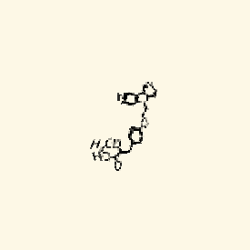 COC(Cc1ccc(OCC=C2c3ccncc3-c3cnccc32)cc1)C(=O)O